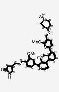 COc1cc(-c2nccc(-c3cccc(-c4ccc(CNC5CCN(C(C)=O)CC5)c(OC)n4)c3Cl)c2Cl)ccc1CNCC1CNC(=O)C1